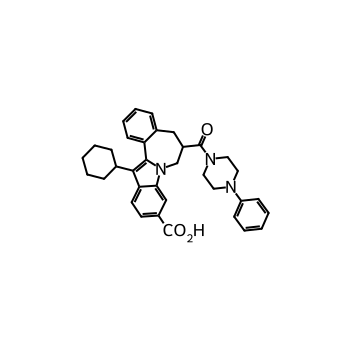 O=C(O)c1ccc2c(C3CCCCC3)c3n(c2c1)CC(C(=O)N1CCN(c2ccccc2)CC1)Cc1ccccc1-3